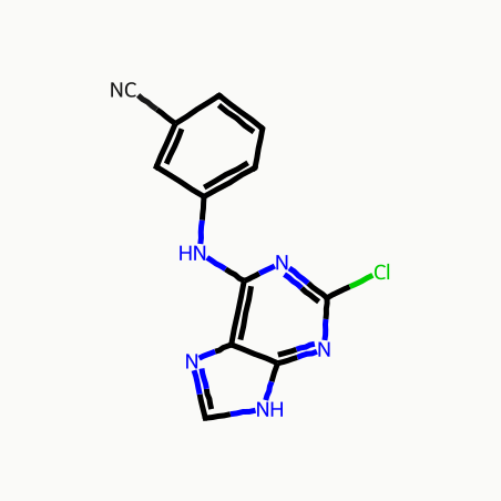 N#Cc1cccc(Nc2nc(Cl)nc3[nH]cnc23)c1